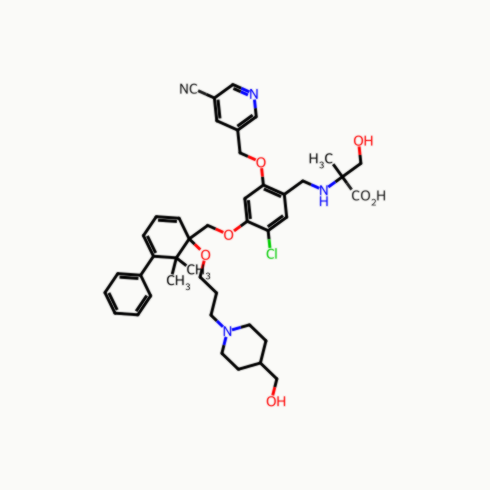 CC(CO)(NCc1cc(Cl)c(OCC2(OCCCN3CCC(CO)CC3)C=CC=C(c3ccccc3)C2(C)C)cc1OCc1cncc(C#N)c1)C(=O)O